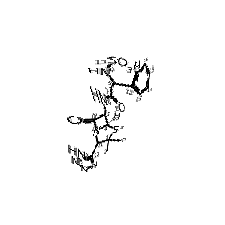 CC1(C)S[C@@H]2C(NC(=O)C(NS(=O)(=O)O)c3ccccc3)C(=O)N2C1c1nnn[nH]1